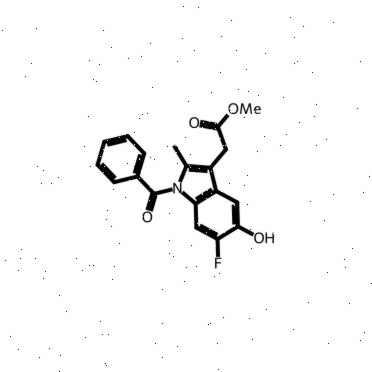 COC(=O)Cc1c(C)n(C(=O)c2ccccc2)c2cc(F)c(O)cc12